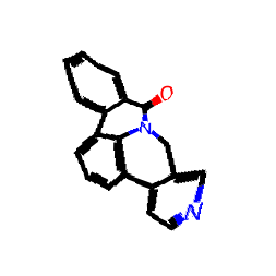 O=c1c2ccccc2c2cccc3c2n1Cc1cnccc1-3